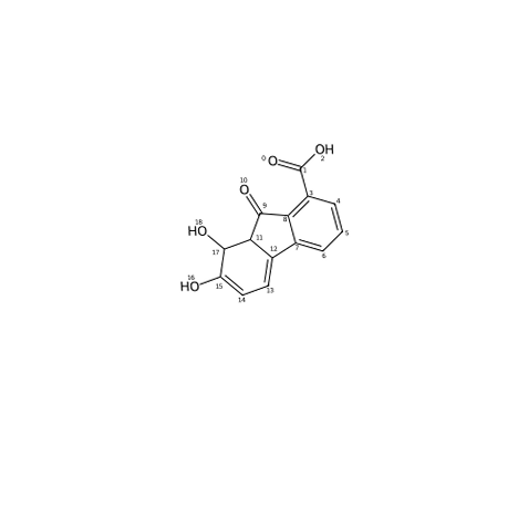 O=C(O)c1cccc2c1C(=O)C1C2=CC=C(O)C1O